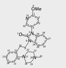 COc1ccc(-n2c(=O)n(CCc3ccccc3N3CCN(C)CC3)c3ccccc32)cn1